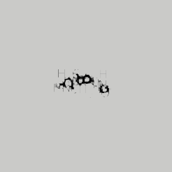 C=C1NC(=O)CCC1N1Cc2cc(OC[C@@H]3COCCN3)ccc2C1=C